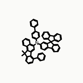 CC1(C)c2cccc(-c3ccccc3)c2-c2cc(N(c3ccc(-c4ccccc4)cc3)c3ccc4c(c3)C3(c5ccccc5-c5ccccc53)c3ccccc3-4)c3ccccc3c21